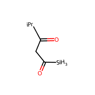 CC(C)C(=O)CC(=O)[SiH3]